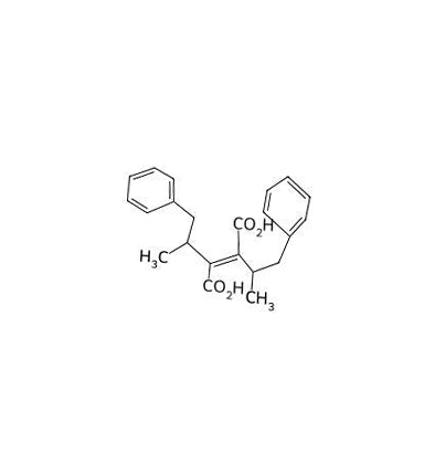 CC(Cc1ccccc1)/C(C(=O)O)=C(\C(=O)O)C(C)Cc1ccccc1